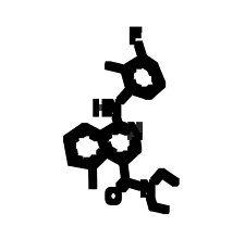 CCN(CC)C(=O)c1cnc(Nc2cccc(F)c2C)c2cccc(C)c12